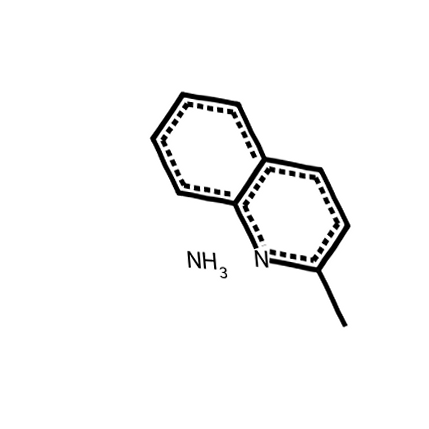 Cc1ccc2ccccc2n1.N